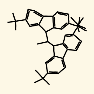 [CH2][C](C1c2cc(C(C)(C)C)ccc2-c2ccc(C(C)(C)C)cc21)C1c2cc(C(C)(C)C)ccc2-c2ccc(C(C)(C)C)cc21